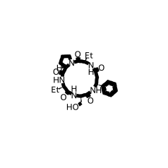 CC[C@@H]1NC(=O)[C@@H]2CCCN2C(=O)[C@H](CC)NC(=O)C[C@H](c2ccccc2)NC(=O)[C@H](CO)NC1=O